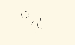 CNC(C)=C(C(=O)Cc1ccccc1Cl)C(=O)OC